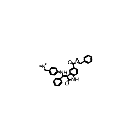 CN(C)Cc1ccc(NC(=C2C(=O)Nc3ccc(C(=O)N(C)Cc4ccccc4)cc32)c2ccccc2)cc1